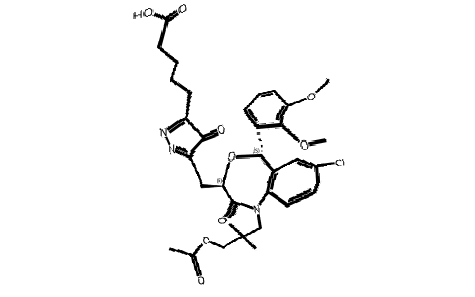 COc1cccc([C@H]2O[C@H](CC3=NN=C(CCCCC(=O)O)C3=O)C(=O)N(CC(C)(C)COC(C)=O)c3ccc(Cl)cc32)c1OC